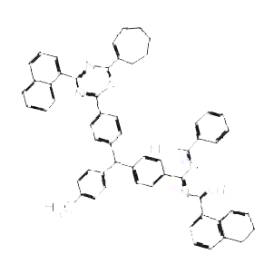 C=C(/N=C(\N=C(/C)c1ccccc1)c1ccc(C(c2ccc(C)cc2)c2ccc(-c3nc(C4=CCCCCC4)nc(-c4cccc5ccccc45)n3)cc2)cc1)c1cccc2c1C=CCC2